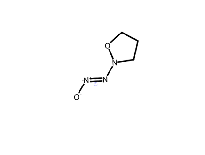 [O-]/[N+]=N/N1CCCO1